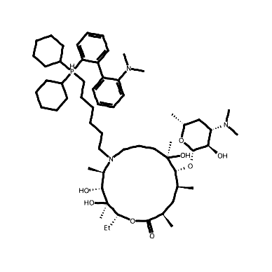 CC[C@H]1OC(=O)[C@H](C)C[C@H](C)[C@@H](O[C@@H]2O[C@H](C)C[C@H](N(C)C)[C@H]2O)[C@](C)(O)CCCN(CCCCCC[PH](c2ccccc2-c2ccccc2N(C)C)(C2CCCCC2)C2CCCCC2)[C@H](C)[C@@H](O)[C@]1(C)O